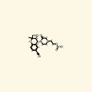 CC1(C)Oc2ccc(C#N)cc2[C@@H](N2CCN(CCO[N+](=O)[O-])CC2=O)[C@@H]1O